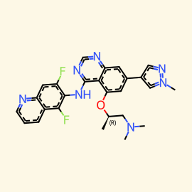 C[C@H](CN(C)C)Oc1cc(-c2cnn(C)c2)cc2ncnc(Nc3c(F)cc4ncccc4c3F)c12